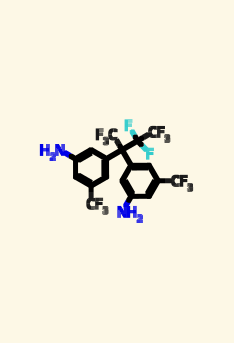 Nc1cc(C(F)(F)F)cc(C(c2cc(N)cc(C(F)(F)F)c2)(C(F)(F)F)C(F)(F)C(F)(F)F)c1